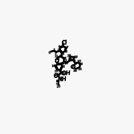 CCCc1cc(Cl)ccc1C1COc2ccc(C(O)C(=O)NSC)cc2N(CC2CCC2C2CCCCO2)C1